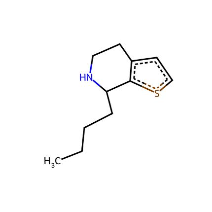 CCCCC1NCCc2ccsc21